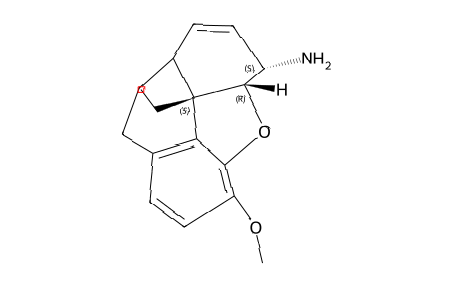 CC[C@]12c3c4ccc(OC)c3O[C@H]1[C@@H](N)C=CC2CC4